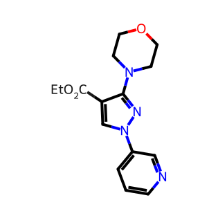 CCOC(=O)c1cn(-c2cccnc2)nc1N1CCOCC1